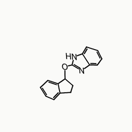 c1ccc2c(c1)CCC2Oc1nc2ccccc2[nH]1